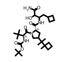 CC(C)(C)OC(=O)N[C@H](C(=O)N1CC(C(C)(C)C2(C)CCC2)C[C@H]1C(=O)NC(CC1CCC1)C(O)C(N)=O)C(C)(C)C